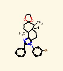 C[C@H]1[C@@H]2CCc3c(nc(-c4ccccc4)n3-c3cccc(Br)c3)[C@@]2(C)CCC12OCCO2